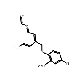 C=C/N=C/C=C(\C=C\C)COc1ccc(Cl)cc1OC